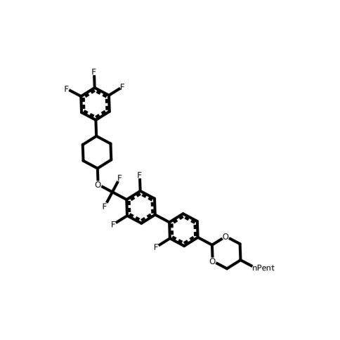 CCCCCC1COC(c2ccc(-c3cc(F)c(C(F)(F)OC4CCC(c5cc(F)c(F)c(F)c5)CC4)c(F)c3)c(F)c2)OC1